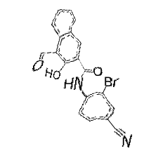 N#Cc1ccc(NC(=O)c2cc3ccccc3c(C=O)c2O)c(Br)c1